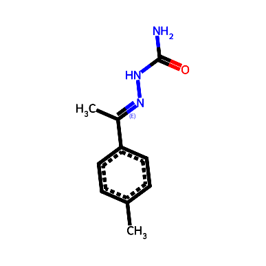 C/C(=N\NC(N)=O)c1ccc(C)cc1